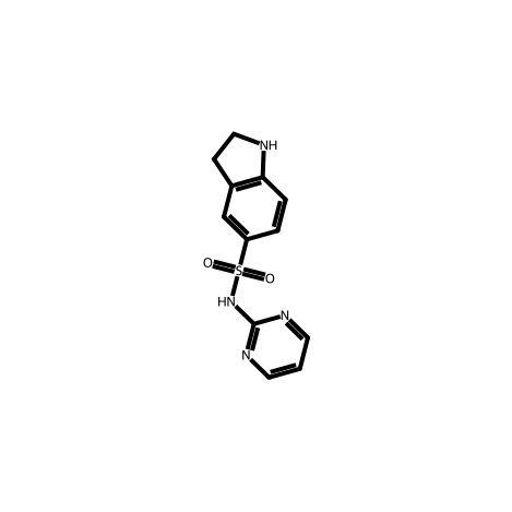 O=S(=O)(Nc1ncccn1)c1ccc2c(c1)CCN2